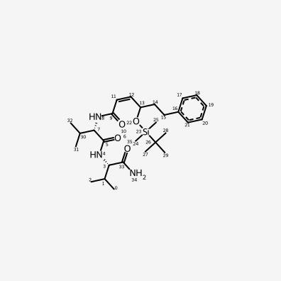 CC(C)[C@H](NC(=O)[C@@H](NC(=O)/C=C\C(CCc1ccccc1)O[Si](C)(C)C(C)(C)C)C(C)C)C(N)=O